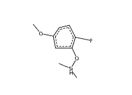 COc1ccc(F)c(O[SiH](C)C)c1